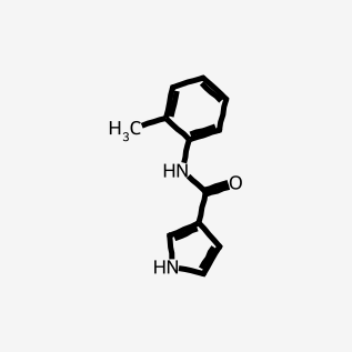 Cc1ccccc1NC(=O)c1cc[nH]c1